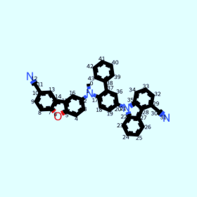 CN(c1ccc2oc3ccc(C#N)cc3c2c1)c1ccc(-n2c3ccccc3c3c(C#N)cccc32)cc1-c1ccccc1